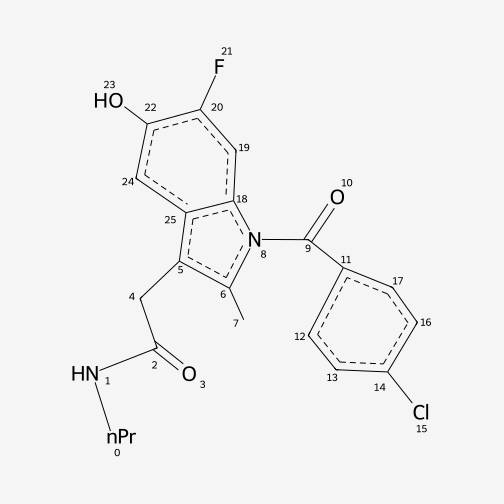 CCCNC(=O)Cc1c(C)n(C(=O)c2ccc(Cl)cc2)c2cc(F)c(O)cc12